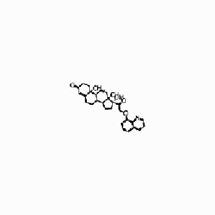 CC12CCC(=O)C=C1CCC1C2CCC2(C)C1CC[C@]2(O)C(=O)COc1cccc2cccnc12